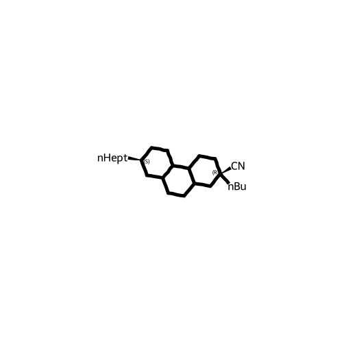 CCCCCCC[C@H]1CCC2C(CCC3C[C@@](C#N)(CCCC)CCC32)C1